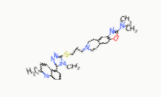 Cc1ccc2c(-c3nnc(SCCCN4CCc5cc6nc(N(C)C)oc6cc5CC4)n3C)cccc2n1